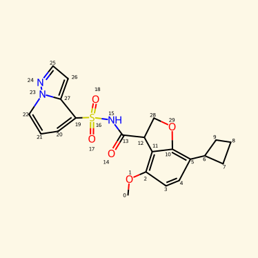 COc1ccc(C2CCC2)c2c1C(C(=O)NS(=O)(=O)c1cccn3nccc13)CO2